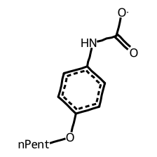 CCCCCOc1ccc(NC([O])=O)cc1